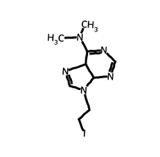 CN(C)C1=NC=NC2C1N=CN2CCI